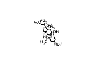 CC(=O)OC/C(=N\O)[C@@]1(O)CC[C@H]2C3C[C@H](C)C4=C/C(=N/O)C=C[C@]4(C)[C@H]3C(O)C[C@@]21C